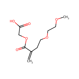 C=C(CCOCCOC)C(=O)OCC(=O)O